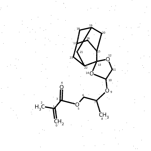 C=C(C)C(=O)OCC(C)OC1COC2(O1)C1CC3CC(C1)CC2C3